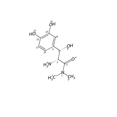 CN(C)C(=O)[C@H](N)[C@@H](O)c1ccc(O)c(O)c1